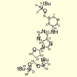 CC(C)(C)[Si](C)(C)OCc1cccc(Nc2ncnc3c2ncn3[C@H]2C[C@H](C(O[Si](C)(C)C(C)(C)C)O[Si](C)(C)C(C)(C)C)CO2)c1